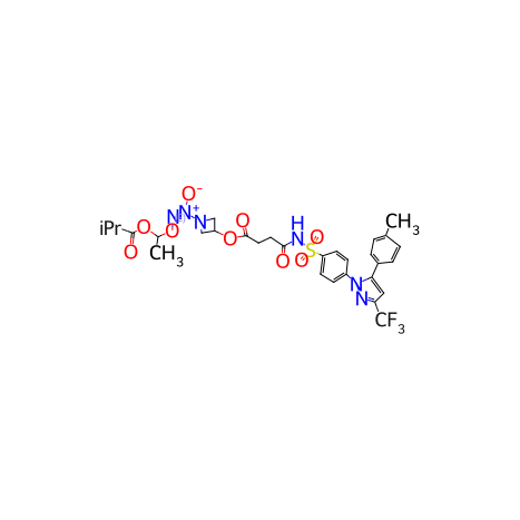 Cc1ccc(-c2cc(C(F)(F)F)nn2-c2ccc(S(=O)(=O)NC(=O)CCC(=O)OC3CN(/[N+]([O-])=N\OC(C)OC(=O)C(C)C)C3)cc2)cc1